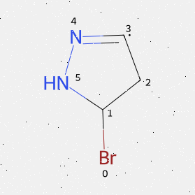 BrC1C[C]=NN1